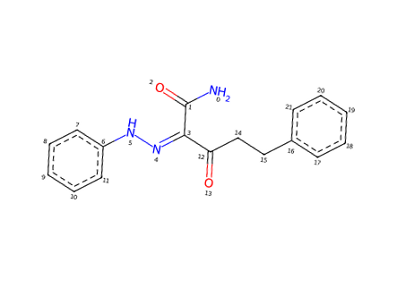 NC(=O)C(=NNc1ccccc1)C(=O)CCc1ccccc1